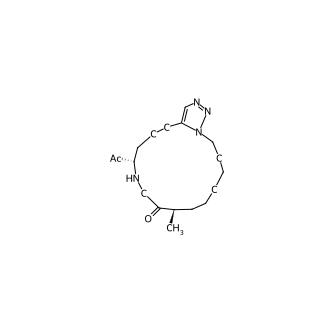 CC(=O)[C@@H]1CCCc2cnnn2CCCCCC[C@@H](C)C(=O)CN1